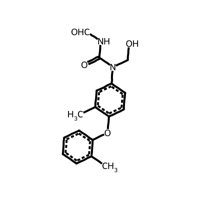 Cc1ccccc1Oc1ccc(N(CO)C(=O)NC=O)cc1C